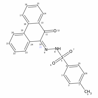 Cc1ccc(S(=O)(=O)N/N=C2\C(=O)c3ccccc3-c3ccccc32)cc1